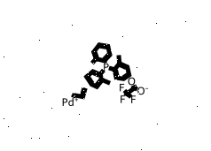 C=C[CH2][Pd+].Cc1ccccc1P(c1ccccc1C)c1ccccc1C.O=C([O-])C(F)(F)F